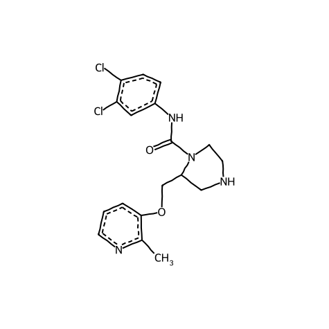 Cc1ncccc1OCC1CNCCN1C(=O)Nc1ccc(Cl)c(Cl)c1